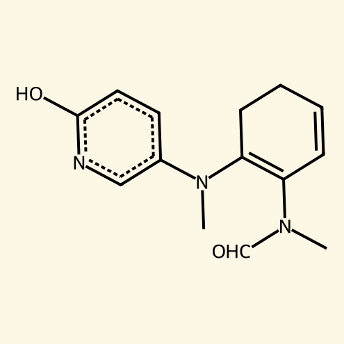 CN(C=O)C1=C(N(C)c2ccc(O)nc2)CCC=C1